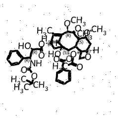 CO[C@H]1C(=O)[C@@]2(C)C([C@H](OC(=O)c3ccccc3)[C@]3(O)C[C@H](OC(=O)[C@H](O)[C@H](NC(=O)OC(C)(C)C)c4ccccc4)C(C)=C1[C@H]3C)[C@]1(OC(C)=O)CO[C@@H]1C[C@@H]2OC